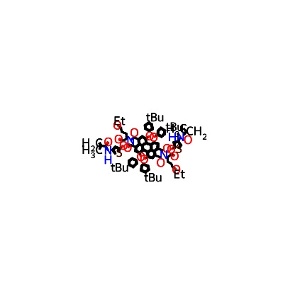 C=C(C)C(=O)Nc1csc(OC(=O)C(CCCOCC)N2C(=O)c3cc(Oc4ccc(C(C)(C)C)cc4)c4c5c(Oc6ccc(C(C)(C)C)cc6)cc6c7c(cc(Oc8ccc(C(C)(C)C)cc8)c(c8c(Oc9ccc(C(C)(C)C)cc9)cc(c3c48)C2=O)c75)C(=O)N(C(CCCOCC)C(=O)Oc2cc(NC(=O)C(=C)C)cs2)C6=O)c1